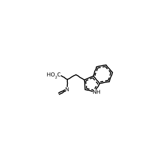 C=NC(Cc1c[nH]c2ccccc12)C(=O)O